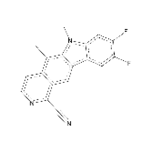 Cc1c2ccnc(C#N)c2cc2c3cc(F)c(F)cc3n(C)c12